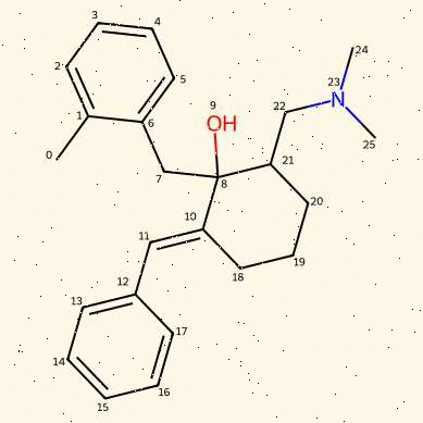 Cc1ccccc1CC1(O)C(=Cc2ccccc2)CCCC1CN(C)C